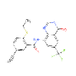 C#Cc1ccc(SCC)c(C(=O)Nc2cc(C(F)(F)F)cc3c(=O)[nH]cnc23)c1